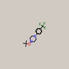 CC(C)(C)ON1CCN(c2ccc(C(F)(F)F)cc2)CC1